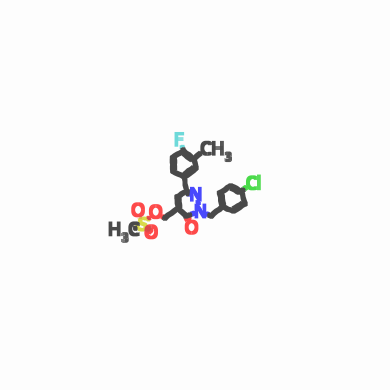 Cc1cc(-c2cc(COS(C)(=O)=O)c(=O)n(Cc3ccc(Cl)cc3)n2)ccc1F